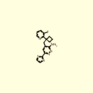 Nc1nnc(-c2nccs2)cc1CC1(c2ncccc2F)CCC1